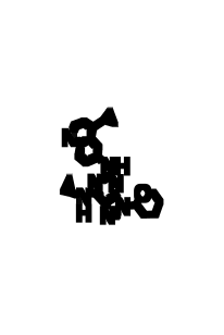 c1cc(C2CC2)c2cc(Nc3nc(NC4CC4)c4ncn(C5CCCCO5)c4n3)ccc2n1